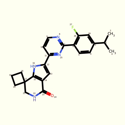 CC(C)c1ccc(-c2nccc(-c3cc4c([nH]3)C3(CCC3)CNC4=O)n2)c(F)c1